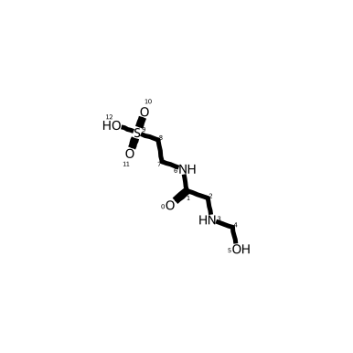 O=C(CNCO)NCCS(=O)(=O)O